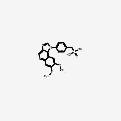 COc1cc2ncc3ncn(-c4ccc(CP(=O)(O)O)cc4)c3c2cc1OC